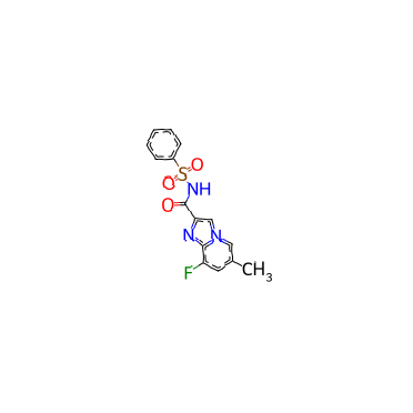 Cc1cc(F)c2nc(C(=O)NS(=O)(=O)c3ccccc3)cn2c1